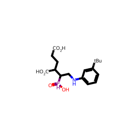 CC(C)(C)c1cccc(NCC(C(CCC(=O)O)C(=O)O)[PH](=O)O)c1